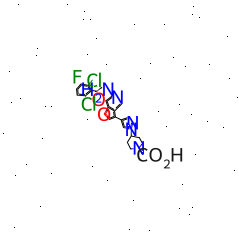 C[C@@H](Oc1c(N)ncc2c(-c3cnn(C4CCN(C(=O)O)CC4)c3)coc12)c1c(Cl)ccc(F)c1Cl